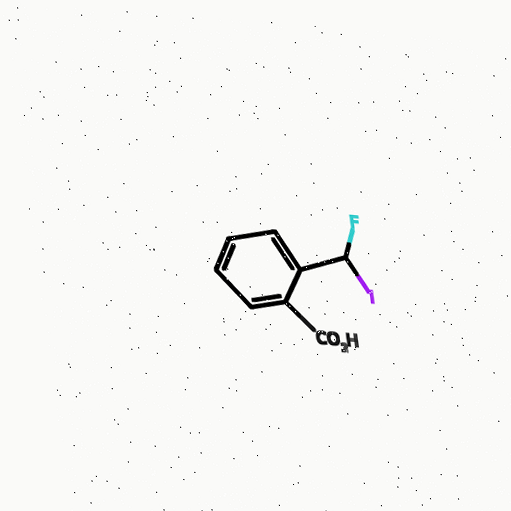 O=C(O)c1ccccc1C(F)I